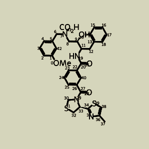 COc1cccc(CN(C[C@@H](O)C(Cc2ccccc2)NC(=O)c2cccc(C(=O)N3CSC[C@@H]3c3nc(C)cs3)c2)C(=O)O)c1